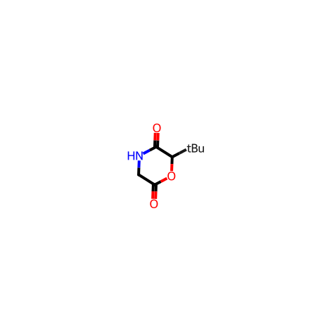 CC(C)(C)C1OC(=O)CNC1=O